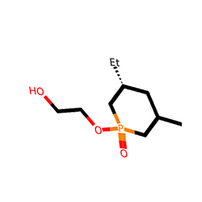 CC[C@@H]1CC(C)CP(=O)(OCCO)C1